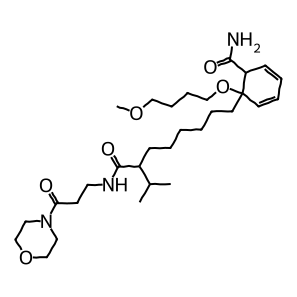 COCCCCOC1(CCCCCCC(C(=O)NCCC(=O)N2CCOCC2)C(C)C)C=CC=CC1C(N)=O